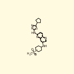 CS(=O)(=O)N1CCC(Nc2cnc3ccc(Nc4nnc(C5CCCC5)s4)nc3c2)CC1